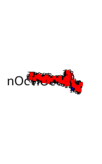 C=C(/C=C\C)c1ccccc1N(/C(C)=C/C)c1ccc2c(c1)C(C)(C)c1c3c(c4c(oc5ccccc54)c1-2)-c1ccc(-c2ccc(-c4ccc5c(c4)C(C)(C)c4cc(-c6ccc7c(c6)C(CCCCCCCC)(CCCCCCCC)c6ccccc6-7)ccc4-5)cc2)cc1C3(C)C